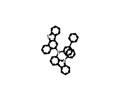 c1ccc(-c2cccc(N(c3cc4c5ccccc5sc4c4ccccc34)c3cccc4c5ccccc5n(-c5ccccc5)c34)c2)cc1